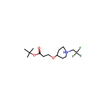 CC(C)(C)OC(=O)CCOC1CC[NH+](C[B-](F)(F)F)CC1